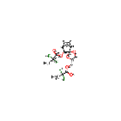 CC(F)(F)C(=O)OCC1COC2(O1)C1CCC(C1)C2OC(=O)C(C)(F)F